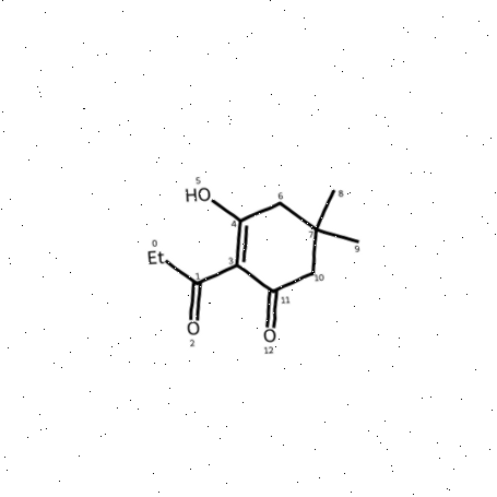 CCC(=O)C1=C(O)CC(C)(C)CC1=O